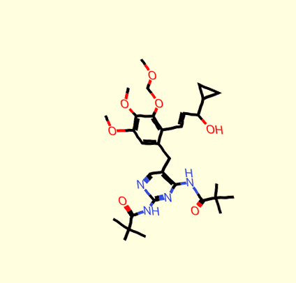 COCOc1c(/C=C/C(O)C2CC2)c(Cc2cnc(NC(=O)C(C)(C)C)nc2NC(=O)C(C)(C)C)cc(OC)c1OC